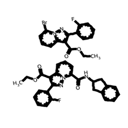 CCOC(=O)c1c(-c2ccccc2F)nn2c(Br)cccc12.CCOC(=O)c1c(-c2ccccc2F)nn2c(C(=O)NC3Cc4ccccc4C3)cccc12